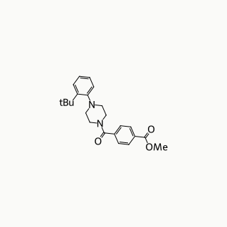 COC(=O)c1ccc(C(=O)N2CCN(c3ccccc3C(C)(C)C)CC2)cc1